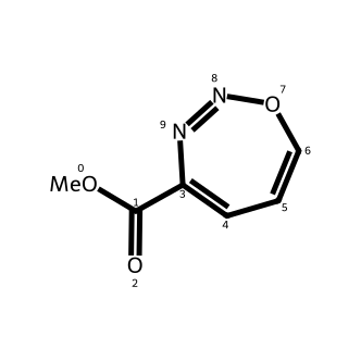 COC(=O)C1=CC=CON=N1